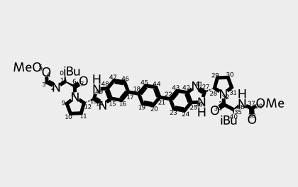 CC[C@H](C)[C@H](/N=C\OOC)C(=O)N1CCC[C@H]1c1nc2cc(-c3ccc(-c4ccc5[nH]c([C@@H]6CCCN6C(=O)[C@@H](NC(=O)OC)[C@@H](C)CC)nc5c4)cc3)ccc2[nH]1